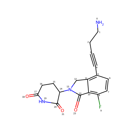 NCCC#Cc1ccc(F)c2c1CN(C1CCC(=O)NC1=O)C2=O